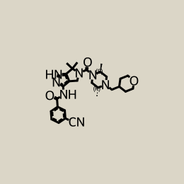 C[C@@H]1CN(C(=O)N2Cc3c(NC(=O)c4cccc(C#N)c4)n[nH]c3C2(C)C)[C@@H](C)CN1CC1CCOCC1